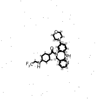 O=C(C1CCC(NCC(F)(F)F)CC1)N1Cc2cccnc2Nc2ccc(N3CCOCC3)cc21